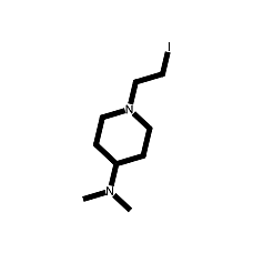 CN(C)C1CCN(CCI)CC1